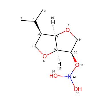 CC(C)[C@@H]1CO[C@H]2[C@@H]1OC[C@H]2ON(O)O